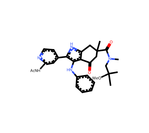 COC(C)(C)CN(C)C(=O)C1(C)CC(=O)c2c([nH]c(-c3ccnc(NC(C)=O)c3)c2Nc2ccccc2)C1